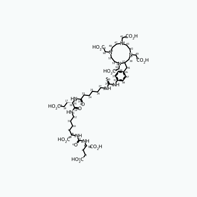 O=C(O)CC[C@H](NC(=O)N[C@@H](CCCCNC(=O)[C@H](CCC(=O)O)NC(=O)CCCCCNC(=S)Nc1ccc(CC2CN(CC(=O)O)CCN(CC(=O)O)CCN(CC(=O)O)CCN2CC(=O)O)cc1)C(=O)O)C(=O)O